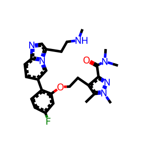 CNCCc1cnc2ccc(-c3ccc(F)cc3OCCc3c(C(=O)N(C)C)nn(C)c3C)cn12